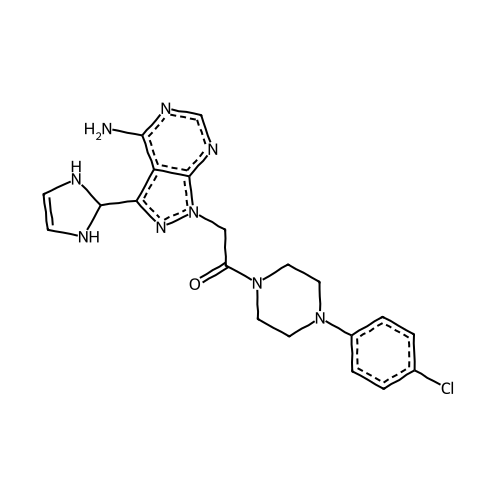 Nc1ncnc2c1c(C1NC=CN1)nn2CC(=O)N1CCN(c2ccc(Cl)cc2)CC1